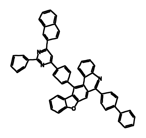 c1ccc(-c2ccc(-c3nc4ccccc4c4c(-c5ccc(-c6cc(-c7ccc8ccccc8c7)nc(-c7ccccc7)n6)cc5)c5c(cc34)oc3ccccc35)cc2)cc1